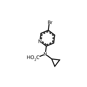 O=C(O)N(c1ccc(Br)cn1)C1CC1